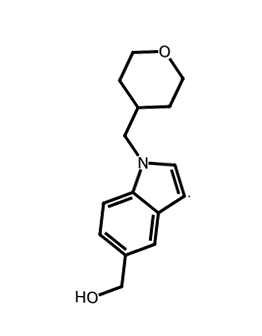 OCc1ccc2c([c]cn2CC2CCOCC2)c1